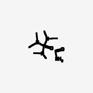 CN(C)P(=O)(N(C)C)N(C)C.NC=O